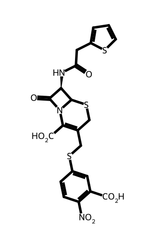 O=C(Cc1cccs1)N[C@@H]1C(=O)N2C(C(=O)O)=C(CSc3ccc([N+](=O)[O-])c(C(=O)O)c3)CSC12